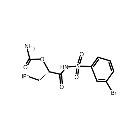 CC(C)C[C@H](OC(N)=O)C(=O)NS(=O)(=O)c1cccc(Br)c1